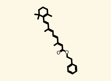 CC1=C(/C=C/C(C)=C/C=C/C(C)=C/C(=O)OCCc2ccccc2)C(C)(C)CCC1